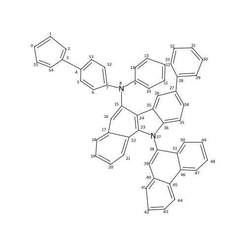 c1ccc(-c2ccc(N(c3ccccc3)c3cc4ccccc4c4c3c3cc(-c5ccccc5)ccc3n4-c3cc4ccccc4c4ccccc34)cc2)cc1